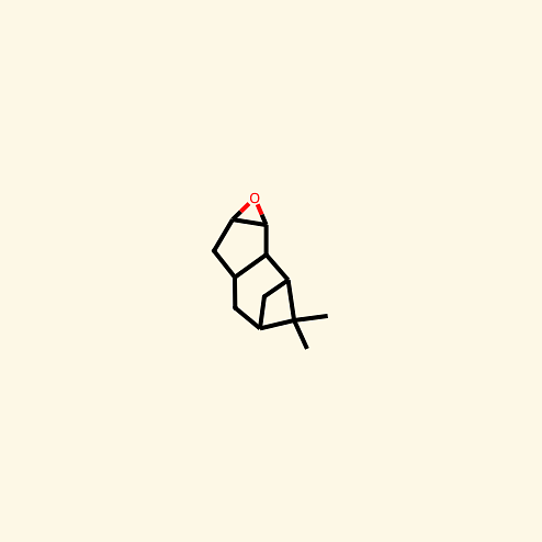 CC1(C)C2CC3CC4OC4C3C1C2